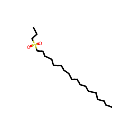 [CH2]CCS(=O)(=O)CCCCCCCCCCCCCCCCCC